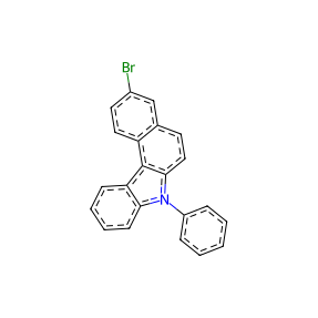 Brc1ccc2c(ccc3c2c2ccccc2n3-c2ccccc2)c1